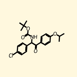 CC(C)Oc1ccc(C(=O)C(NC(=O)OC(C)(C)C)c2ccc(Cl)cc2)cc1